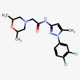 Cc1cc(NC(=O)CN2CC(C)OC(C)C2)nn1-c1ccc(Cl)c(Cl)c1